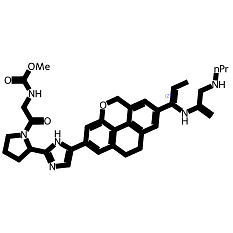 C=C(CNCCC)N/C(=C\C)c1cc2c3c(c1)COc1cc(-c4cnc(C5CCCN5C(=O)CNC(=O)OC)[nH]4)cc(c1-3)CC2